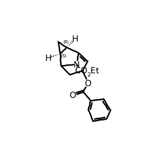 CCOC(=O)N1C2=CC(OC(=O)c3ccccc3)CC1[C@H]1C[C@@H]21